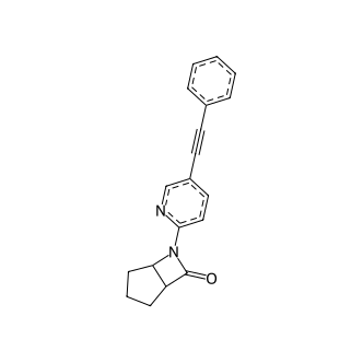 O=C1C2CCCC2N1c1ccc(C#Cc2ccccc2)cn1